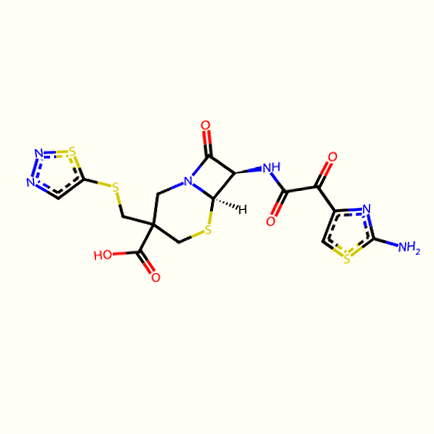 Nc1nc(C(=O)C(=O)N[C@@H]2C(=O)N3CC(CSc4cnns4)(C(=O)O)CS[C@H]23)cs1